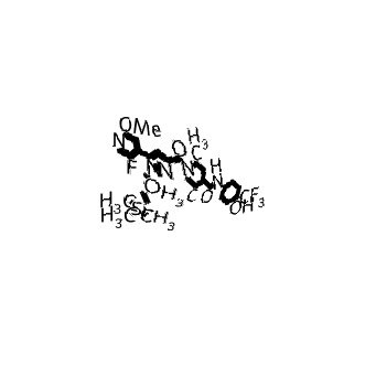 COc1cc(-c2cc(C(=O)N3CC(C)C(C(=O)N[C@H]4CC[C@@](O)(C(F)(F)F)CC4)CC3C)nn2COCC[Si](C)(C)C)c(F)cn1